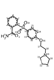 NC(=O)c1ccccc1S(=O)(=O)c1ccc(OCCN2CCCC2)nn1